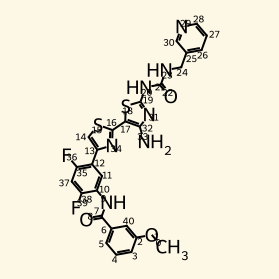 COc1cccc(C(=O)Nc2cc(-c3csc(-c4sc(NC(=O)NCc5cccnc5)nc4N)n3)c(F)cc2F)c1